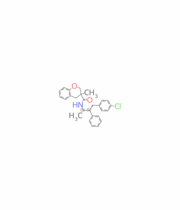 C[C@H](NC(=O)C1(C)COc2ccccc2C1)[C@@H](Cc1ccc(Cl)cc1)c1ccccc1